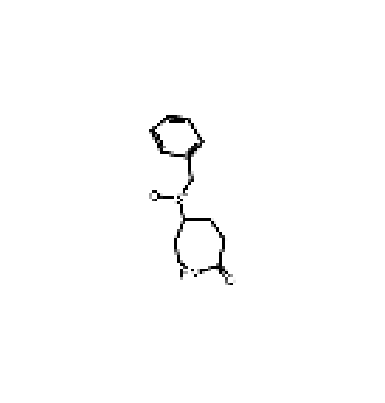 O=C1CCC([S+]([O-])Cc2ccccc2)CCN1